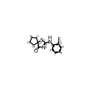 O=C1N=C(Nc2ccccc2F)SC12CCCC2